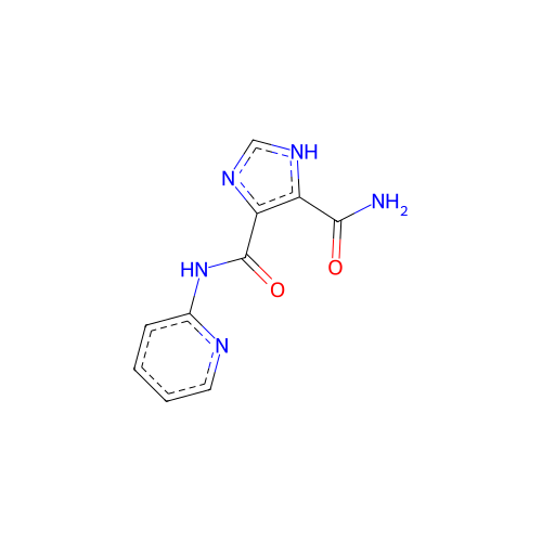 NC(=O)c1[nH]cnc1C(=O)Nc1ccccn1